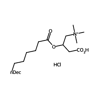 CCCCCCCCCCCCCCCC(=O)OC(CC(=O)O)C[N+](C)(C)C.Cl